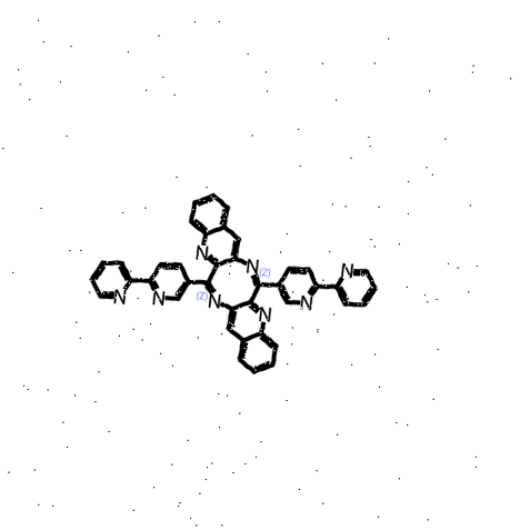 c1ccc(-c2ccc(/C3=N/c4cc5ccccc5nc4/C(c4ccc(-c5ccccn5)nc4)=N\c4cc5ccccc5nc43)cn2)nc1